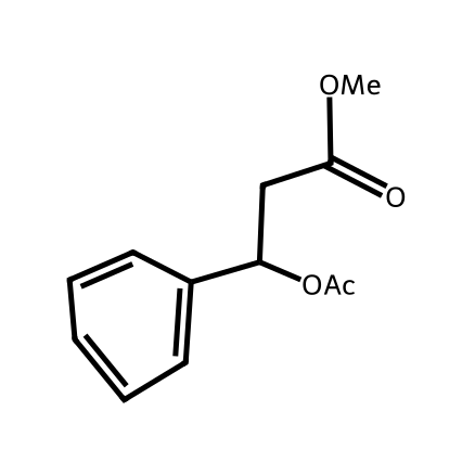 COC(=O)CC(OC(C)=O)c1ccccc1